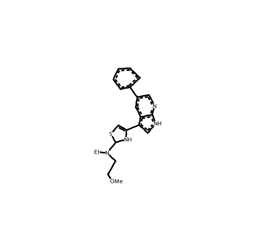 CCN(CCOC)C1NC(c2c[nH]c3ncc(-c4ccccc4)cc23)=CS1